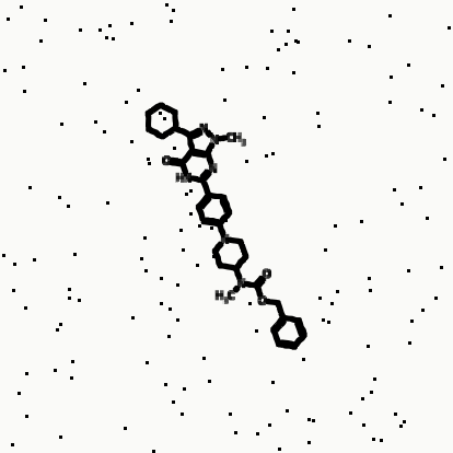 CN(C(=O)OCc1ccccc1)C1CCN(c2ccc(-c3nc4c(c(C5CCCCC5)nn4C)c(=O)[nH]3)cc2)CC1